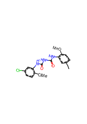 COc1ccc(C)cc1NC(=O)NC(=O)Nc1cc(Cl)ccc1OC